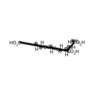 NN[C@@H](CCCCNC(=O)CC[C@H](NC(=O)CCCNC(=O)COCCOCCNC(=O)COCCOCCNC(=O)CCCNC(=O)CCCCCCCCCCCCCCC(=O)O)C(=O)O)C(=O)O